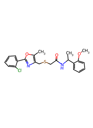 COc1ccccc1C(C)NC(=O)CSCc1nc(-c2ccccc2Cl)oc1C